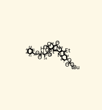 CCc1c2c(nc3ccc(OC(=O)OC(C)(C)C)cc13)-c1cc3c(c(=O)n1C2)COC(=O)[C@@]3(CC)OC(=O)C(C)NC(=O)OCc1ccccc1